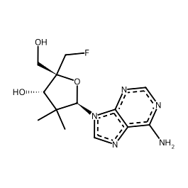 CC1(C)[C@H](n2cnc3c(N)ncnc32)O[C@@](CO)(CF)[C@H]1O